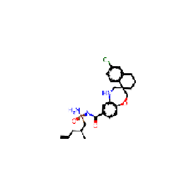 C=CC[C@H](C)C[S@](N)(=O)=NC(=O)c1ccc2c(c1)NC[C@@]1(CCCc3cc(Cl)ccc31)CO2